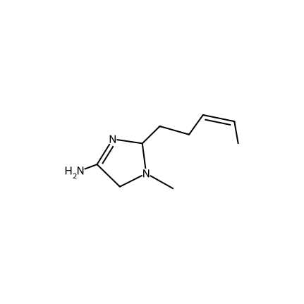 C/C=C\CCC1N=C(N)CN1C